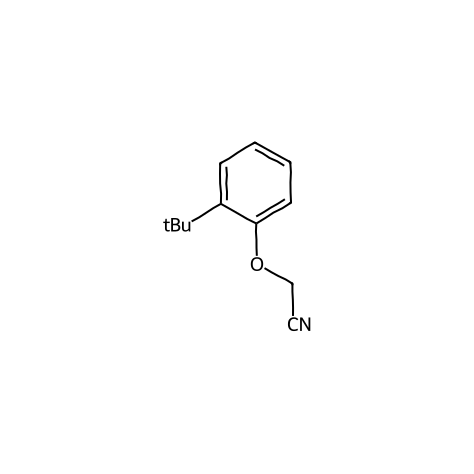 CC(C)(C)c1ccccc1OCC#N